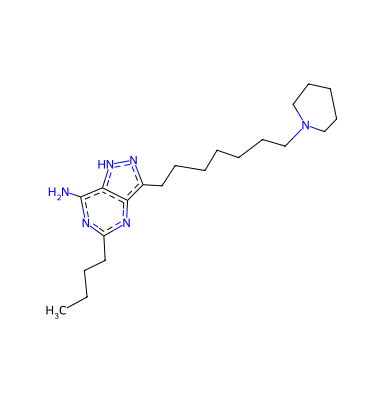 CCCCc1nc(N)c2[nH]nc(CCCCCCCN3CCCCC3)c2n1